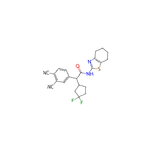 N#Cc1ccc(C(C(=O)Nc2nc3c(s2)CCCC3)C2CCC(F)(F)C2)cc1C#N